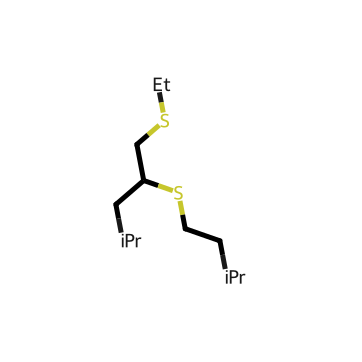 CCSCC(CC(C)C)SCCC(C)C